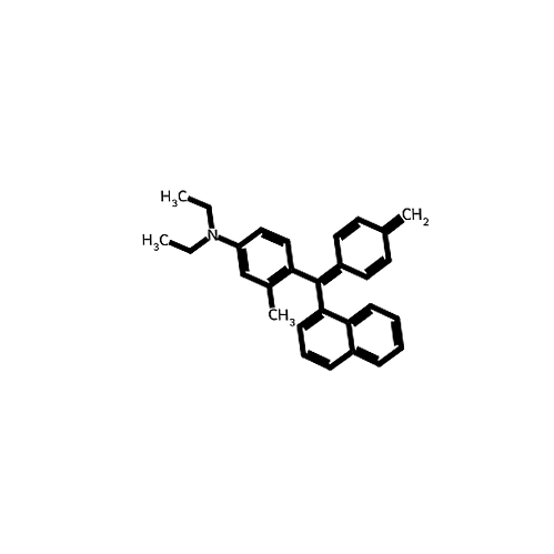 C=c1ccc(=C(c2ccc(N(CC)CC)cc2C)c2cccc3ccccc23)cc1